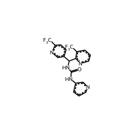 O=C(Nc1cccnc1)NC(c1ccc(C(F)(F)F)nc1)c1ncccc1C(F)(F)F